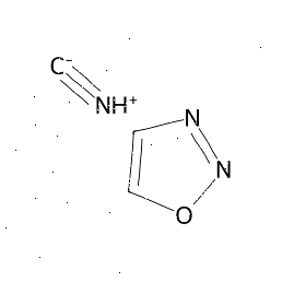 [C-]#[NH+].c1conn1